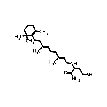 CC1=C(/C=C/C(C)=C/C=C/C(C)=C/CN[C@@H](CCS)C(N)=O)C(C)(C)CCC1